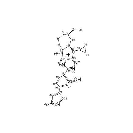 CC[C@@H]1CCC[C@H](C(F)(F)F)[C@H](N(c2cnc(-c3ccc(-c4cnn(C)c4)cc3O)nn2)C2CC2)C1